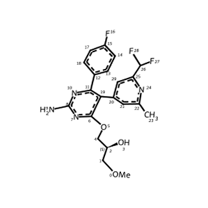 COC[C@H](O)COc1nc(N)nc(-c2ccc(F)cc2)c1-c1cc(C)nc(C(F)F)c1